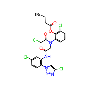 CC(C)(C)CCC(=O)Oc1c(Cl)cccc1N(CC(=O)Nc1cc(Cl)ccc1-n1cc(Cl)nn1)C(=O)CCl